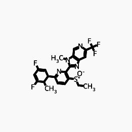 CC[S+]([O-])c1ccc(C2C=C(F)C=C(F)C2C)nc1-c1nc2cc(C(F)(F)F)ncc2n1C